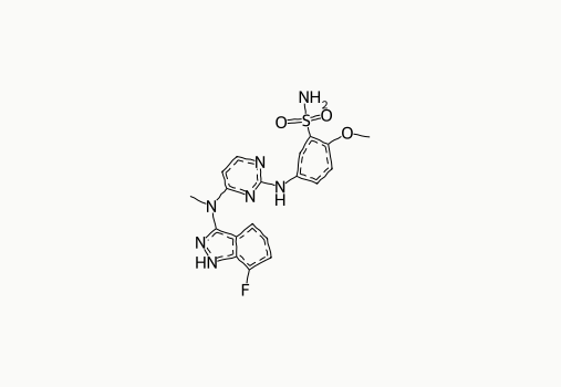 COc1ccc(Nc2nccc(N(C)c3n[nH]c4c(F)cccc34)n2)cc1S(N)(=O)=O